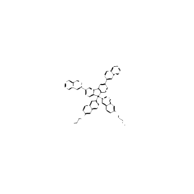 OCCOc1ccc2cc(C3(c4ccc5cc(OCCO)ccc5c4)c4ccc(-c5ccc6ccccc6c5)cc4-c4cc(-c5ccc6ccccc6c5)ccc43)ccc2c1